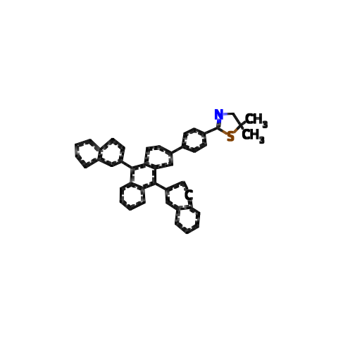 CC1(C)CN=C(c2ccc(-c3ccc4c(-c5ccc6ccccc6c5)c5ccccc5c(-c5ccc6ccccc6c5)c4c3)cc2)S1